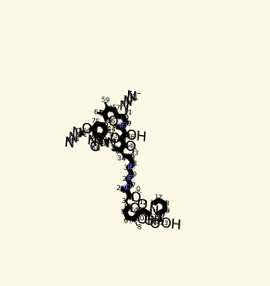 CO[C@@H](C[C@@H]1CC[C@@H](C)C(O)(C(=O)C(=O)N2CCCC[C@H]2C(=O)O)O1)/C(C)=C/C=C/C=C/[C@@H](C)C[C@@H](CN=[N+]=[N-])C(=O)[C@H](OC)[C@H](O)/C(C)=C/[C@@H](CN=[N+]=[N-])C(=O)C[C@H](C)[C@H](C)C[C@@H]1CC[C@@H](N=O)[C@H](OCN=[N+]=[N-])C1